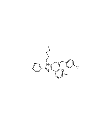 CCCCCn1c(-c2ccccc2)nc(-c2ccccc2)c1CN(CCCC)Cc1ccc(Cl)cc1